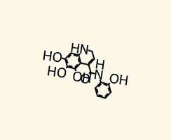 O=C(Nc1ccccc1O)C1=CCNc2cc(O)c(O)c(O)c21